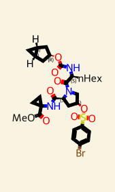 CCCCCC[C@H](NC(=O)O[C@@H]1C[C@@H]2C[C@@H]2C1)C(=O)N1C[C@@H](OS(=O)(=O)c2ccc(Br)cc2)C[C@H]1C(=O)NC1(C(=O)OC)CC1